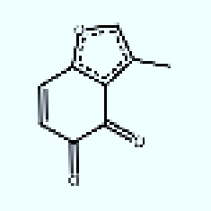 Cc1coc2c1C(=O)C(=O)C=C2